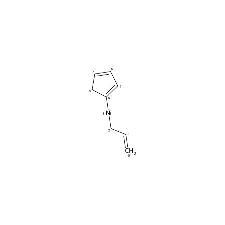 C=C[CH2][Ni][C]1=CC=CC1